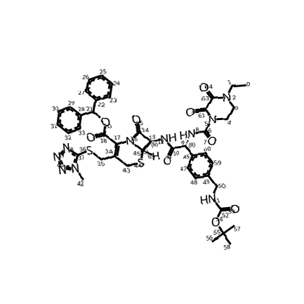 CCN1CCN(C(=O)N[C@@H](C(=O)N[C@@H]2C(=O)N3C(C(=O)OC(c4ccccc4)c4ccccc4)=C(CSc4nnnn4C)CS[C@@H]23)c2ccc(CNC(=O)OC(C)(C)C)cc2)C(=O)C1=O